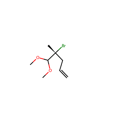 C=CC[C@@](C)(Br)C(OC)OC